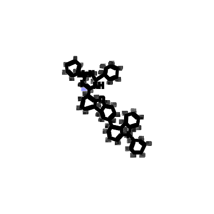 CNC(N/C(=N\Cc1ccccc1)c1cccc2c1oc1ccc(-c3cccc4c3c3ccccc3n4-c3ccccc3)cc12)c1ccccc1